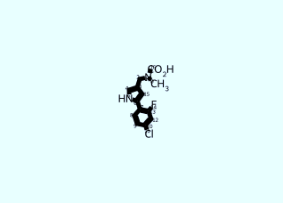 CN(Cc1c[nH]c(-c2ccc(Cl)cc2F)c1)C(=O)O